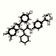 O=C(Nc1ccc(-c2nnn[nH]2)cc1)C(C1CCCCC1)n1c(-c2ccc(Cl)cc2)nc2cc(F)c(F)cc21